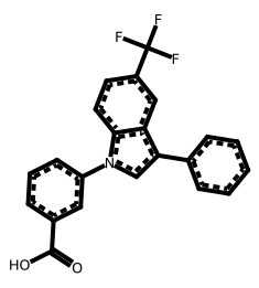 O=C(O)c1cccc(-n2cc(-c3ccccc3)c3cc(C(F)(F)F)ccc32)c1